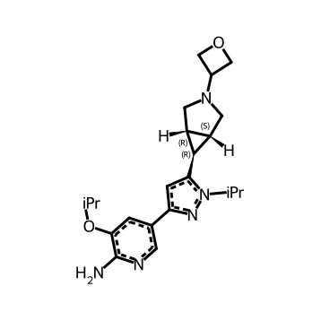 CC(C)Oc1cc(-c2cc([C@H]3[C@@H]4CN(C5COC5)C[C@@H]43)n(C(C)C)n2)cnc1N